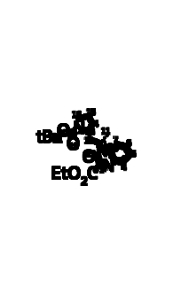 CCOC(=O)c1nc2ccccc2n([C@@H](C)C[C@@H]2CCCN2C(=O)OC(C)(C)C)c1=O